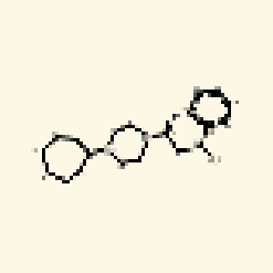 CC[C@@H](CC(=O)N1CCN(C2CCCCCC2)CC1)c1ccccc1